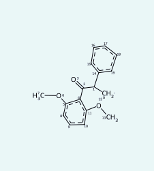 [CH2]C(C(=O)c1c(OC)cccc1OC)c1ccccc1